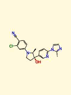 Cc1nccn1-c1ccc([C@]2(O)CCN(c3ccc(C#N)c(Cl)c3)[C@H]2C)cn1